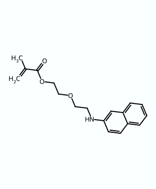 C=C(C)C(=O)OCCOCCNc1ccc2ccccc2c1